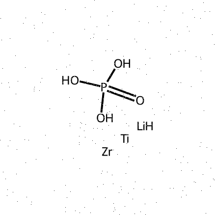 O=P(O)(O)O.[LiH].[Ti].[Zr]